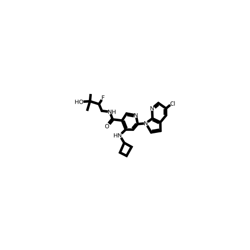 CC(C)(O)C(F)CNC(=O)c1cnc(-n2ccc3cc(Cl)cnc32)cc1NC1CCC1